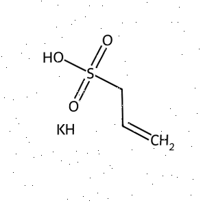 C=CCS(=O)(=O)O.[KH]